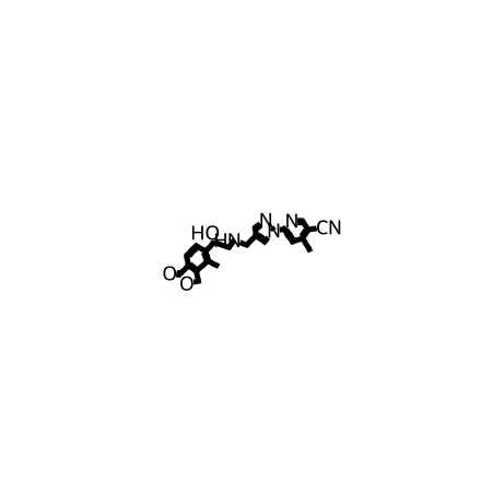 Cc1cc(-n2cc(CNCC(O)c3ccc4c(c3C)COC4=O)cn2)ncc1C#N